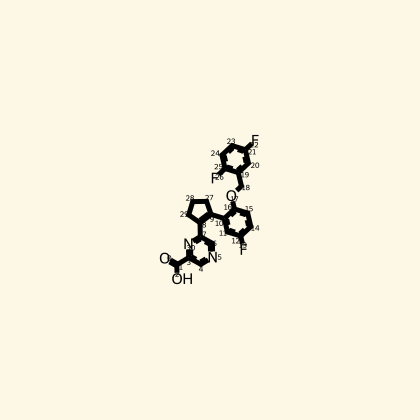 O=C(O)c1cncc(C2=C(c3cc(F)ccc3OCc3cc(F)ccc3F)CCC2)n1